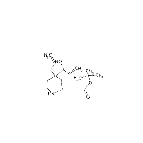 C=CCC1(C(O)C=C)CCNCC1.CC(C)(C)OC=O